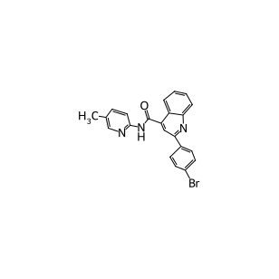 Cc1ccc(NC(=O)c2cc(-c3ccc(Br)cc3)nc3ccccc23)nc1